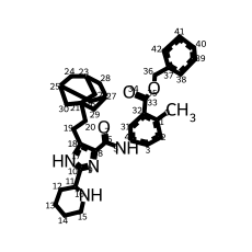 Cc1ccc(NC(=O)c2nc(C3CCCCN3)[nH]c2CCC23CC4CC(CC(C4)C2)C3)cc1C(=O)OCc1ccccc1